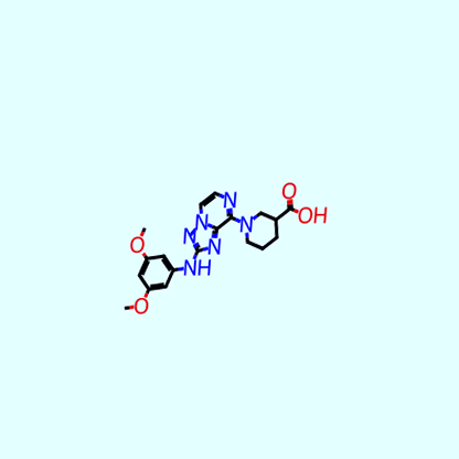 COc1cc(Nc2nc3c(N4CCCC(C(=O)O)C4)nccn3n2)cc(OC)c1